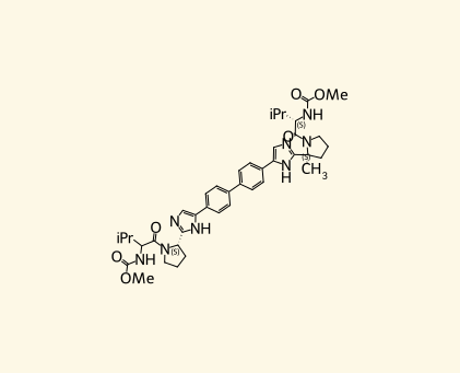 COC(=O)NC(C(=O)N1CCC[C@H]1c1ncc(-c2ccc(-c3ccc(-c4cnc([C@]5(C)CCCN5C(=O)[C@@H](NC(=O)OC)C(C)C)[nH]4)cc3)cc2)[nH]1)C(C)C